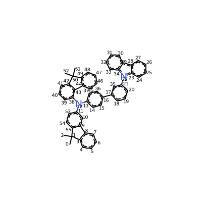 CC1(C)c2ccccc2-c2cc(N(c3ccc(-c4cccc(-n5c6ccccc6c6ccccc65)c4)cc3)c3cccc4c3-c3ccccc3C4(C)C)ccc21